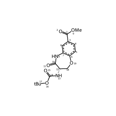 COC(=O)c1ccc2c(c1)NC(=O)[C@@H](NC(=O)OC(C)(C)C)CO2